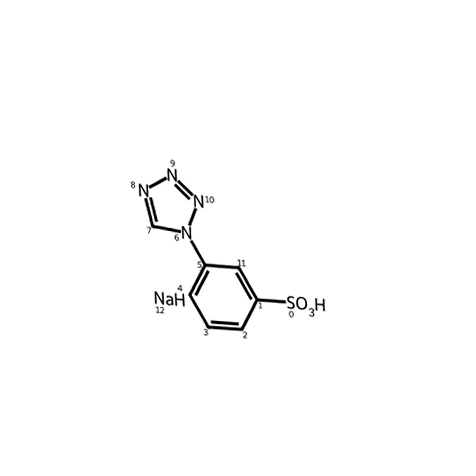 O=S(=O)(O)c1cccc(-n2cnnn2)c1.[NaH]